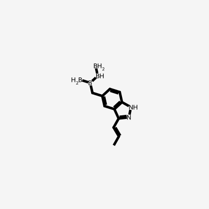 BBB(B)Cc1ccc2[nH]nc(/C=C/C)c2c1